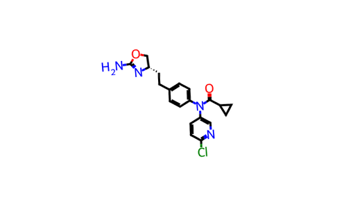 NC1=N[C@@H](CCc2ccc(N(C(=O)C3CC3)c3ccc(Cl)nc3)cc2)CO1